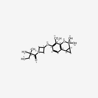 C[C@](N)(CO)C(=O)N1CC(Oc2ccc3c(c2C(=O)O)O[B-](O)(O)C2CC32)C1